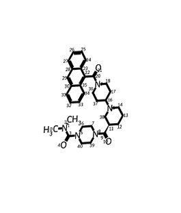 CN(C)C(=O)N1CCN(C(=O)[C@@H]2CCCN(C3CCN(C(=O)c4c5ccccc5cc5ccccc45)CC3)C2)CC1